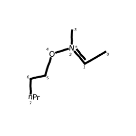 CC=[N+](C)OCCCCC